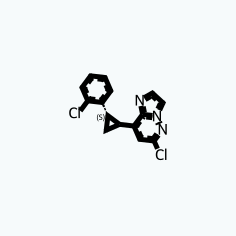 Clc1cc(C2C[C@@H]2c2ccccc2Cl)c2nccn2n1